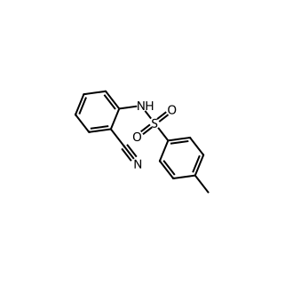 Cc1ccc(S(=O)(=O)Nc2ccccc2C#N)cc1